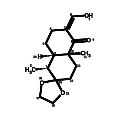 C[C@@H]1[C@H]2CC/C(=C/O)C(=O)[C@]2(C)CCC12OCCO2